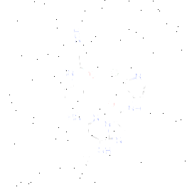 O=C(Nc1ccnc(Cl)c1)c1cnc2c(NC3CC3)cc(NC3CCC(NC(=O)C4CNC4)CC3)nn12